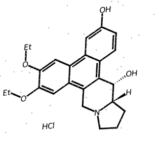 CCOc1cc2c3c(c4ccc(O)cc4c2cc1OCC)[C@H](O)[C@@H]1CCCN1C3.Cl